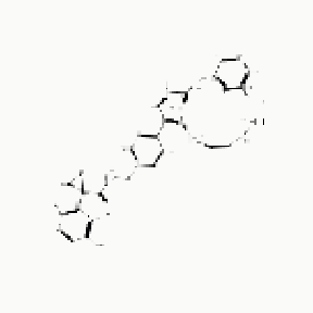 Cc1ccc(F)c(C2(C(=O)NCc3ccc(-c4cnc5nc4NCCCNSc4cccc(c4)N5)cc3)CC2)c1